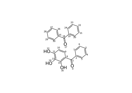 O=C(c1ccccc1)c1ccc(O)c(O)c1O.O=C(c1ccccc1)c1ccccc1